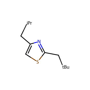 CC(C)Cc1csc(CC(C)(C)C)n1